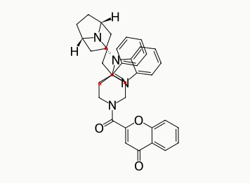 Cc1nc2ccccc2n1[C@H]1C[C@H]2CC[C@@H](C1)N2CCC1(c2ccccc2)CCN(C(=O)c2cc(=O)c3ccccc3o2)CC1